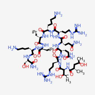 CC(C)C[C@H](NC(=O)[C@H](CC(C)C)NC(=O)[C@H](CCCCN)NC(=O)[C@H](CCCNC(=N)N)NC(=O)[C@H](CCC(N)=O)NC(=O)[C@H](CCC(N)=O)NC(=O)[C@H](CCCNC(=N)N)NC(=O)[C@@H](NC(=O)[C@@H](C)CC(C)O)[C@@H](C)O)C(=O)N[C@@H](CCCCN)C(=O)N[C@@H](CO)C(N)=O